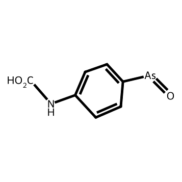 O=[As]c1ccc(NC(=O)O)cc1